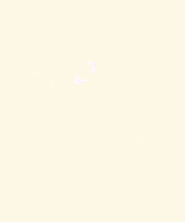 CCCOc1ccc(C=Cc2nc3cccc(C(=O)O)c3[nH]2)cc1